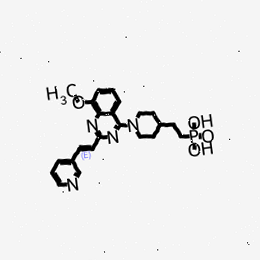 COc1cccc2c(N3CCC(CCP(=O)(O)O)CC3)nc(/C=C/c3cccnc3)nc12